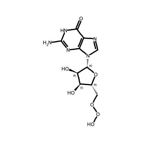 Nc1nc2c(ncn2[C@@H]2O[C@H](COOO)[C@@H](O)[C@H]2O)c(=O)[nH]1